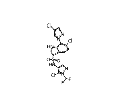 O=S(=O)(Nc1cnn(C(F)F)c1Cl)c1c[nH]c2c(-n3cc(Cl)cn3)c(Cl)ccc12